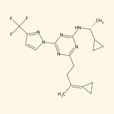 CC(CCc1nc(N[C@H](C)C2CC2)nc(-n2ccc(C(F)(F)F)n2)n1)=C1CC1